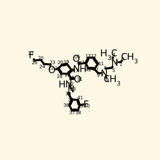 CCN(CC)CCN(C)Cc1cccc(C(=O)Nc2ccc(OCCCCF)cc2C(=O)N/N=C/c2cccc(F)c2)c1